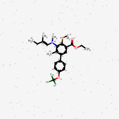 CCOC(=O)c1cc(-c2ccc(OC(F)(F)F)cc2)c(C)c(N(C)/C=C(\C)CC)c1SC